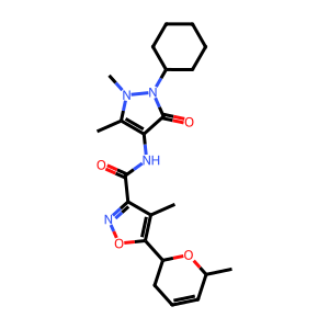 Cc1c(C(=O)Nc2c(C)n(C)n(C3CCCCC3)c2=O)noc1C1CC=CC(C)O1